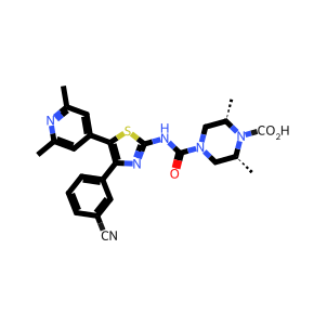 Cc1cc(-c2sc(NC(=O)N3C[C@@H](C)N(C(=O)O)[C@@H](C)C3)nc2-c2cccc(C#N)c2)cc(C)n1